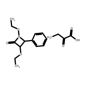 CCC(=O)C(=O)O.CCOC1C(=O)N(OCC)C1c1ccccc1